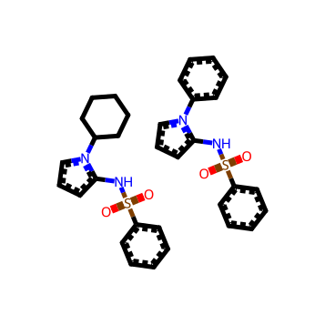 O=S(=O)(Nc1cccn1-c1ccccc1)c1ccccc1.O=S(=O)(Nc1cccn1C1CCCCC1)c1ccccc1